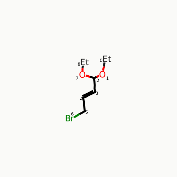 CCOC(/C=C/CBr)OCC